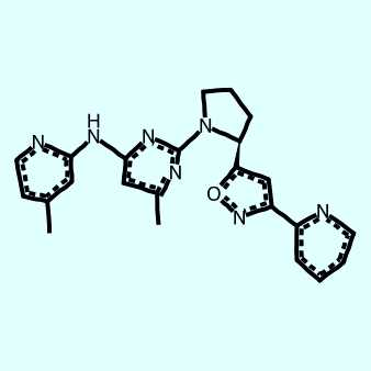 Cc1ccnc(Nc2cc(C)nc(N3CCC[C@H]3c3cc(-c4ccccn4)no3)n2)c1